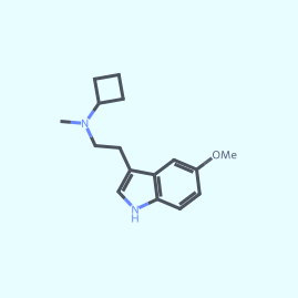 COc1ccc2[nH]cc(CCN(C)C3CCC3)c2c1